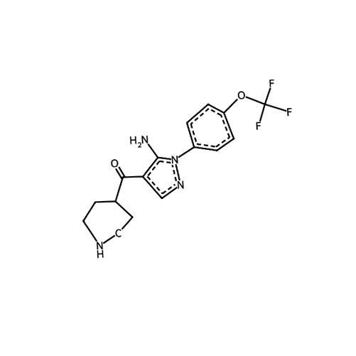 Nc1c(C(=O)C2CCNCC2)cnn1-c1ccc(OC(F)(F)F)cc1